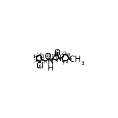 Cc1ccc(N2CC(NC(=O)Cc3ccccc3Cl)CC2=O)cc1